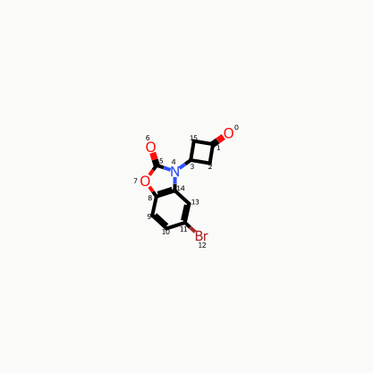 O=C1CC(n2c(=O)oc3ccc(Br)cc32)C1